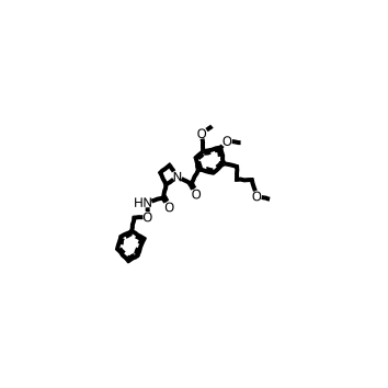 COCCCc1cc(C(=O)N2CCC2C(=O)NOCc2ccccc2)cc(OC)c1OC